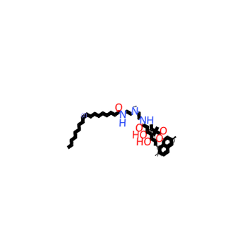 CCCCCCCC/C=C\CCCCCCCC(=O)NCCN(C)CCNC(=O)C[C@H](O)C[C@@H](O)CC[C@@H]1C2C(=C[C@H](C)CC2OC(=O)C(C)(C)CC)C=C[C@@H]1C